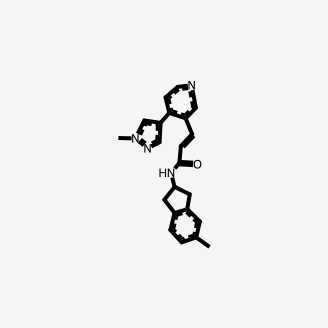 Cc1ccc2c(c1)CC(NC(=O)/C=C/c1cnccc1-c1cnn(C)c1)C2